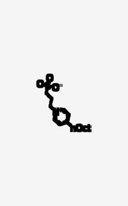 CCCCCCCCc1cc[n+](CCCS(=O)(=O)[O-])cc1